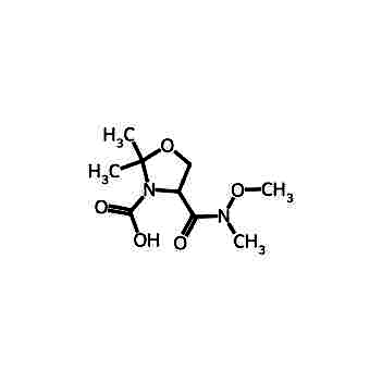 CON(C)C(=O)C1COC(C)(C)N1C(=O)O